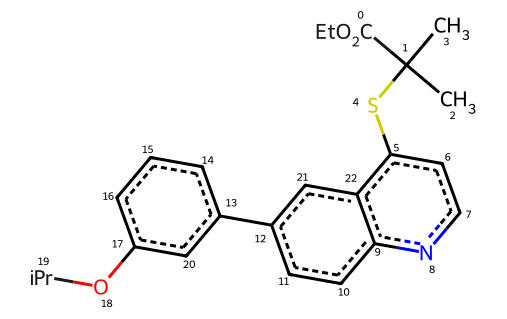 CCOC(=O)C(C)(C)Sc1ccnc2ccc(-c3cccc(OC(C)C)c3)cc12